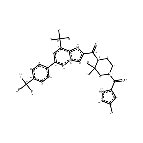 Cc1cc(C(=O)N2CCN(C(=O)c3cn4nc(-c5ccc(C(F)(F)F)cc5)cc(C(C)(C)C)c4n3)C(C)(C)C2)[nH]n1